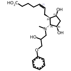 CN(CC(O)COc1ccccc1)[C@@H]1[C@@H](C/C=C\CCCC(=O)O)[C@@H](O)C[C@H]1O